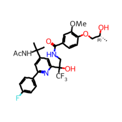 COc1cc(C(=O)NCC(O)(c2cc(C(C)(C)NC(C)=O)cc(-c3ccc(F)cc3)n2)C(F)(F)F)ccc1OC[C@@H](C)O